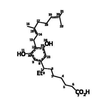 CCC(CCCCCC(=O)O)c1cc(O)c(C/C=C(\C)CCC=C(C)C)c(O)c1